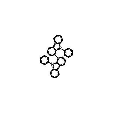 c1ccc(-n2c3ccccc3c3cccc(-c4cccc5c6ccccc6p(-c6ccccc6)c45)c32)cc1